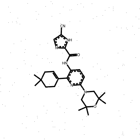 CC1(C)CC=C(c2nc(N3CC(C)(C)OC(C)(C)C3)ccc2NC(=O)c2ncc(C#N)[nH]2)CC1